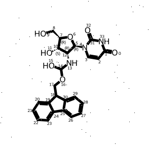 O=c1ccn([C@@H]2O[C@H](CO)[C@@H](O)[C@H]2NC(O)OCC2c3ccccc3-c3ccccc32)c(=O)[nH]1